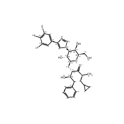 CN(CC1CC1)C(=O)[C@@H](S[C@@H]1O[C@H](CO)[C@H](O)[C@H](n2cc(-c3cc(F)c(F)c(F)c3)nn2)[C@H]1O)[C@H](O)Cc1ccccc1